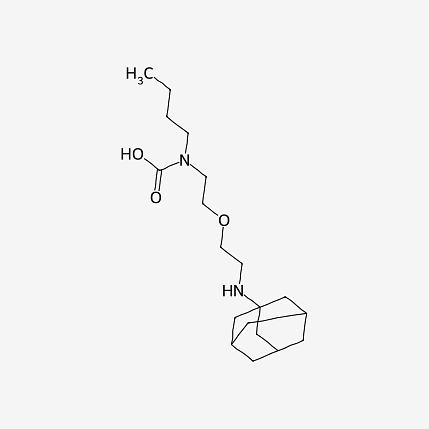 CCCCN(CCOCCNC12CC3CC(CC(C3)C1)C2)C(=O)O